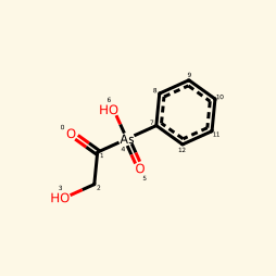 O=C(CO)[As](=O)(O)c1ccccc1